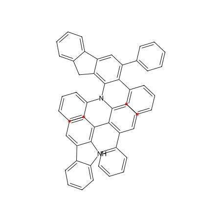 c1ccc(-c2cccc(N(c3ccccc3)c3c4c(cc(-c5ccccc5)c3-c3ccccc3)-c3ccccc3C4)c2-c2cccc3c2[nH]c2ccccc23)cc1